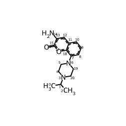 CC(C)N1CCN(c2cccc3cc(N)c(=O)oc23)CC1